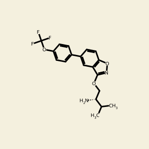 CC(C)[C@H](N)COc1noc2ccc(-c3ccc(OC(F)(F)F)cc3)cc12